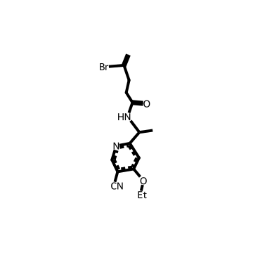 C=C(Br)CCC(=O)NC(C)c1cc(OCC)c(C#N)cn1